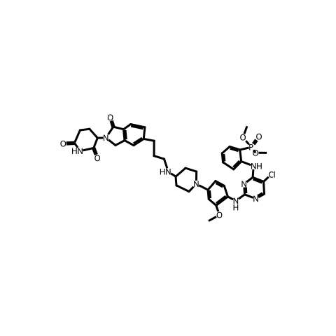 COc1cc(N2CCC(NCCCc3ccc4c(c3)CN(C3CCC(=O)NC3=O)C4=O)CC2)ccc1Nc1ncc(Cl)c(Nc2ccccc2P(=O)(OC)OC)n1